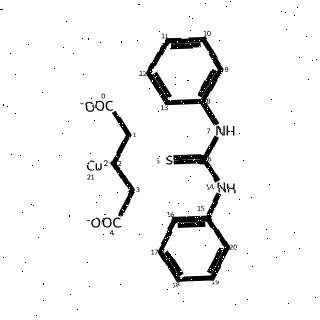 O=C([O-])CCCC(=O)[O-].S=C(Nc1ccccc1)Nc1ccccc1.[Cu+2]